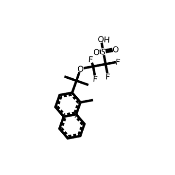 Cc1c(C(C)(C)OC(F)(F)C(F)(F)S(=O)(=O)O)ccc2ccccc12